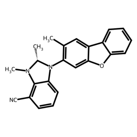 Cc1cc2c(cc1N1c3cccc(C#N)c3N(C)[C@@H]1C)oc1ccccc12